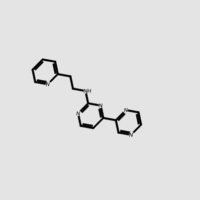 c1ccc(CCNc2nccc(-c3cnccn3)n2)nc1